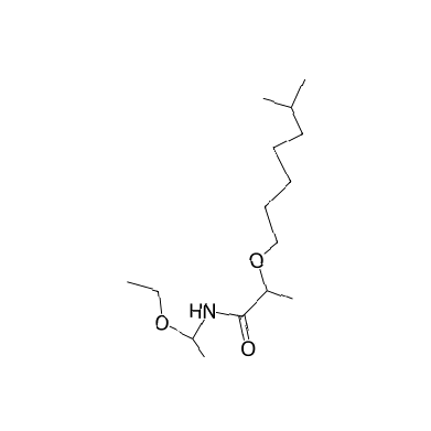 CCOC(C)NC(=O)C(C)OCCCCCC(C)C